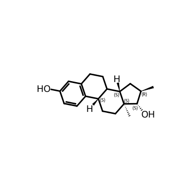 C[C@@H]1C[C@H]2C3CCc4cc(O)ccc4[C@H]3CC[C@]2(C)[C@H]1O